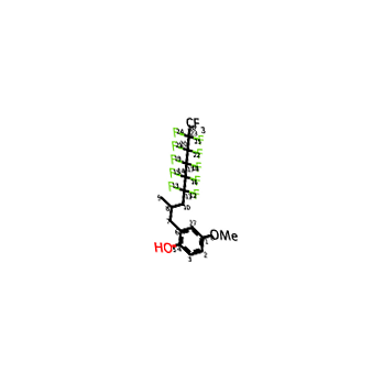 COc1ccc(O)c(CC(C)CC(F)(F)C(F)(F)C(F)(F)C(F)(F)C(F)(F)C(F)(F)F)c1